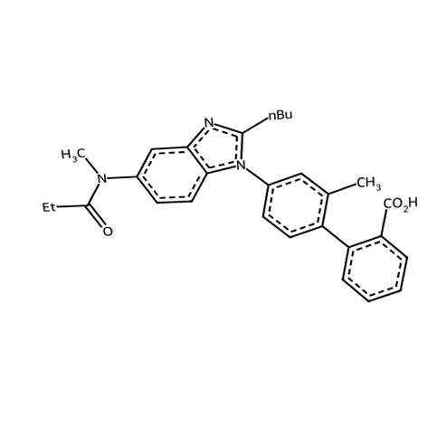 CCCCc1nc2cc(N(C)C(=O)CC)ccc2n1-c1ccc(-c2ccccc2C(=O)O)c(C)c1